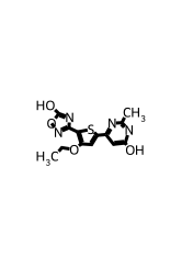 CCOc1cc(-c2cc(O)nc(C)n2)sc1-c1noc(O)n1